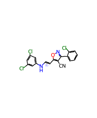 N#Cc1c(-c2ccccc2Cl)noc1/C=C/Nc1cc(Cl)cc(Cl)c1